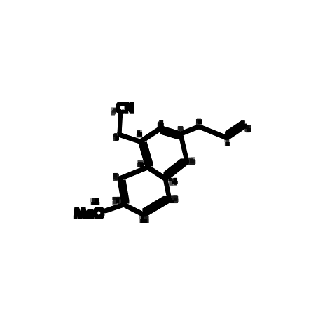 C=CCc1cc(CC#N)c2cc(OC)ccc2c1